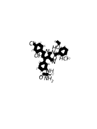 CCOc1ccccc1C(=O)Nc1nc(-c2ccc(Cl)cc2O)cc(-c2cccc(N[C@](C)(N)C=O)c2)c1C#N.Cl